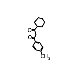 Cc1ccc(C(=O)CC(=O)C2CCCCC2)cc1